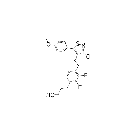 COc1ccc(-c2snc(Cl)c2CCc2ccc(CCCO)c(F)c2F)cc1